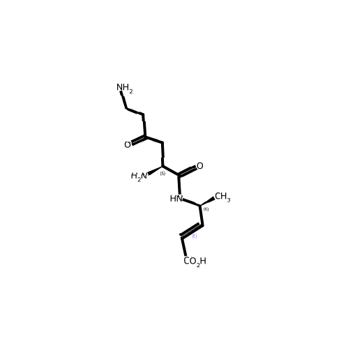 C[C@@H](/C=C/C(=O)O)NC(=O)[C@@H](N)CC(=O)CCN